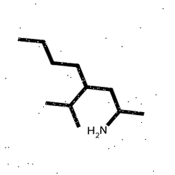 CCCCC(CC(C)N)C(C)C